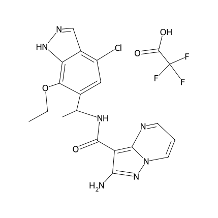 CCOc1c(C(C)NC(=O)c2c(N)nn3cccnc23)cc(Cl)c2cn[nH]c12.O=C(O)C(F)(F)F